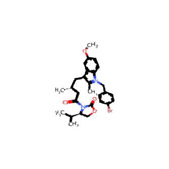 COc1ccc2c(c1)c(C[C@@H](C)CC(=O)N1C(=O)OC[C@H]1C(C)C)c(C)n2Cc1ccc(Br)cc1